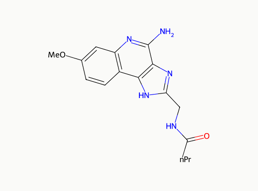 CCCC(=O)NCc1nc2c(N)nc3cc(OC)ccc3c2[nH]1